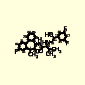 CC1C(=O)N(NC(=O)[C@@H](NC[C@@H](O)c2cc(F)cc(F)c2)C(C)C)c2ccccc2-c2ccc(F)cc21